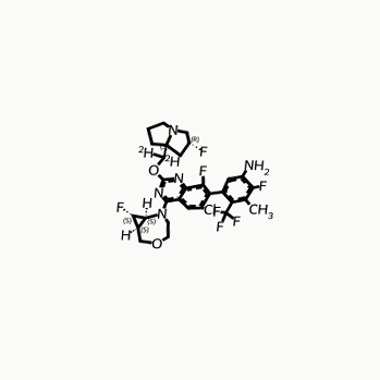 [2H]C([2H])(Oc1nc(N2CCOC[C@H]3[C@H](F)[C@H]32)c2cc(Cl)c(-c3cc(N)c(F)c(C)c3C(F)(F)F)c(F)c2n1)[C@@]12CCCN1C[C@H](F)C2